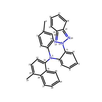 Cc1ccc(N(c2ccccc2-n2nc3ccccc3n2)c2ccc(C)c3ccccc23)cc1